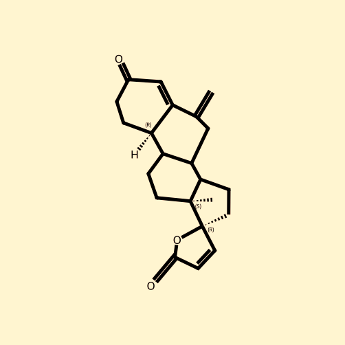 C=C1CC2C(CC[C@@]3(C)C2CC[C@@]32C=CC(=O)O2)[C@H]2CCC(=O)C=C12